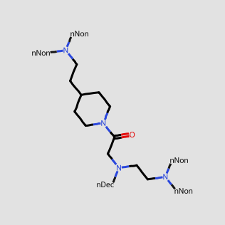 CCCCCCCCCCN(CCN(CCCCCCCCC)CCCCCCCCC)CC(=O)N1CCC(CCN(CCCCCCCCC)CCCCCCCCC)CC1